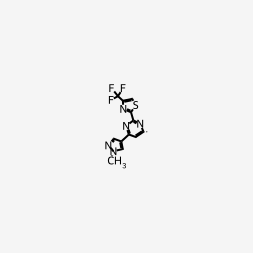 Cn1cc(-c2c[c]nc(-c3nc(C(F)(F)F)cs3)n2)cn1